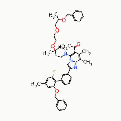 Cc1cc(F)c(-c2cccc(-c3cn4c(N5CCC(C)(OCCOC[C@@H](C)OCc6ccccc6)CC5)c(C(=O)C(=O)O)c(C)c(C)c4n3)c2)c(OCc2ccccc2)c1